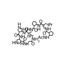 CCC[C@@H](CNC(=O)C1CCCC1NC(=O)[C@H](CNC(=O)C1CCCC1NC(C)=O)CC(C)C)C(=O)NC1CNCC1C(=O)NC1CNCC1C(=O)N[C@@H](C)CC(N)=O